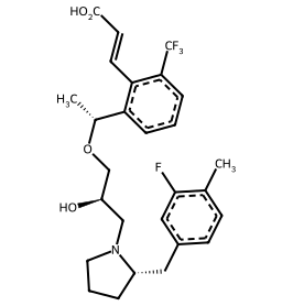 Cc1ccc(C[C@@H]2CCCN2C[C@@H](O)CO[C@H](C)c2cccc(C(F)(F)F)c2/C=C/C(=O)O)cc1F